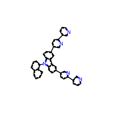 c1cncc(-c2ccc(-c3ccc4c(c3)c3cc(-c5ccc(-c6cccnc6)nc5)ccc3n4-c3cccc4ccccc34)cn2)c1